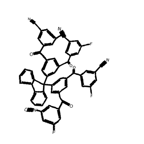 [C-]#[N+]c1cc(F)cc(C(=O)c2cc(C(=O)c3cc(F)cc(C#N)c3)cc(C3(c4cc(C(=O)c5cc(F)cc(C#N)c5)cc(C(=O)c5cc(F)cc(C#N)c5)c4)c4ccccc4-c4ccccc43)c2)c1